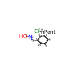 CCCCCCl.ON=Cc1ccccc1